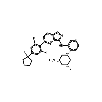 C[C@@H]1C[C@H](N)C[C@H](c2ccncc2Nc2ncc3ccc(-c4c(F)cc(C5(F)CCCC5)cc4F)nn23)C1